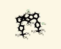 CCC1=C2c3c(-c4ccc(C(C)(C)C)cc4)cccc3[CH]1[Hf+2][CH]1C(CC)=C(c3c(-c4ccc(C(C)(C)C)cc4)cccc31)C2(C)C.[Cl-].[Cl-]